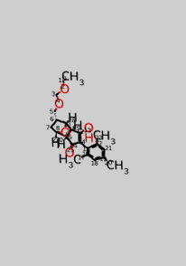 CCOCOC[C@H]1C[C@@H]2O[C@H]1[C@H]1C(O)=C(c3c(C)cc(C)cc3C)C(=O)[C@H]12